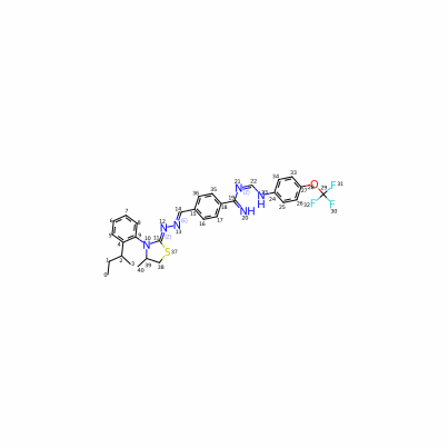 CCC(C)c1ccccc1N1/C(=N/N=C/c2ccc(C(=N)/N=C\Nc3ccc(OC(F)(F)F)cc3)cc2)SCC1C